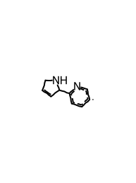 [c]1ccc(C2C=CCN2)nc1